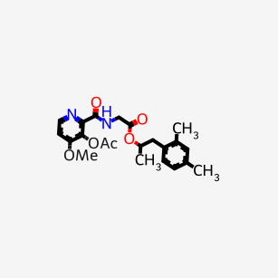 COc1ccnc(C(=O)NCC(=O)OC(C)Cc2ccc(C)cc2C)c1OC(C)=O